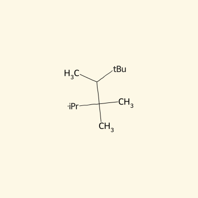 C[C](C)C(C)(C)C(C)C(C)(C)C